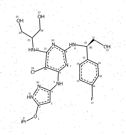 CC(C)Oc1cc(Nc2nc(N[C@@H](CO)c3ccc(F)cc3)nc(NC(CO)CO)c2Cl)n[nH]1